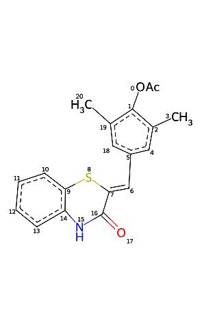 CC(=O)Oc1c(C)cc(/C=C2\Sc3ccccc3NC2=O)cc1C